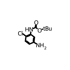 CC(C)(C)OC(=O)Nc1cc(N)ccc1Cl